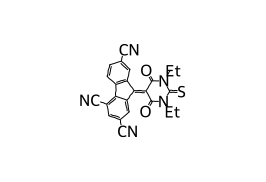 CCN1C(=O)C(=C2c3cc(C#N)ccc3-c3c(C#N)cc(C#N)cc32)C(=O)N(CC)C1=S